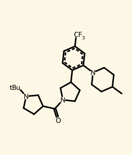 CC1CCN(c2cc(C(F)(F)F)ccc2C2CCN(C(=O)C3CCN(C(C)(C)C)C3)C2)CC1